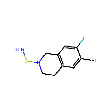 CCc1cc2c(cc1F)CN(SN)CC2